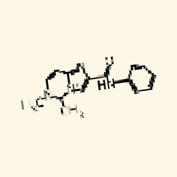 CC1N(C)C=CC2=NC(C(=O)Nc3ccccc3)=C[N+]21